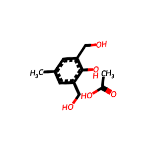 CC(=O)O.Cc1cc(CO)c(O)c(CO)c1